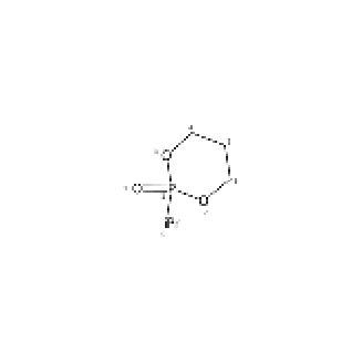 CC(C)P1(=O)OCCCO1